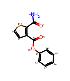 NC(=O)c1sccc1C(=O)Oc1ccccc1